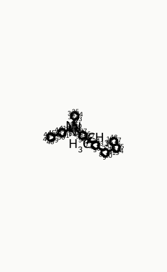 CC(C)(c1ccc(-c2cccc(-c3cccc4ccccc34)c2)cc1)c1ccc(-c2nc(-c3ccccc3)nc(-c3ccc(-c4ccccc4)cc3)n2)cc1